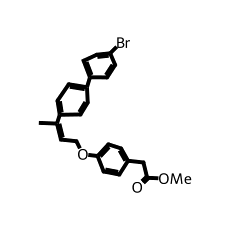 COC(=O)Cc1ccc(OCC=C(C)c2ccc(-c3ccc(Br)cc3)cc2)cc1